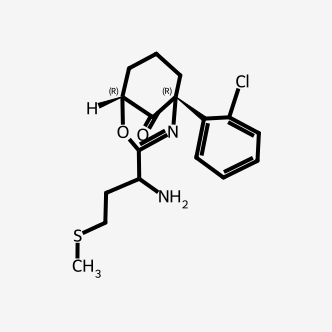 CSCCC(N)C1=N[C@@]2(c3ccccc3Cl)CCC[C@@H](O1)C2=O